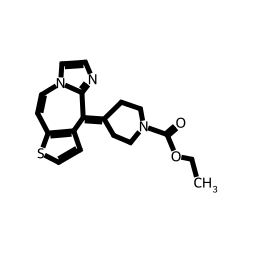 CCOC(=O)N1CCC(=C2c3ccsc3C=Cn3ccnc32)CC1